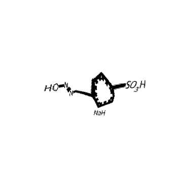 O=S(=O)(O)c1ccc(N=NO)cc1.[NaH]